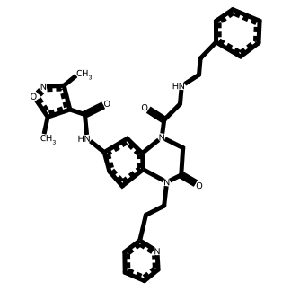 Cc1noc(C)c1C(=O)Nc1ccc2c(c1)N(C(=O)CNCCc1ccccc1)CC(=O)N2CCc1ccccn1